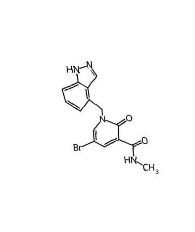 CNC(=O)c1cc(Br)cn(Cc2cccc3[nH]ncc23)c1=O